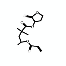 C=CC(=O)OC(C)CC(C)(C)C(=O)OC1CCOC1=O